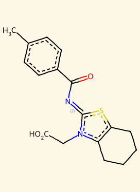 Cc1ccc(C(=O)/N=c2\sc3c(n2CC(=O)O)CCCC3)cc1